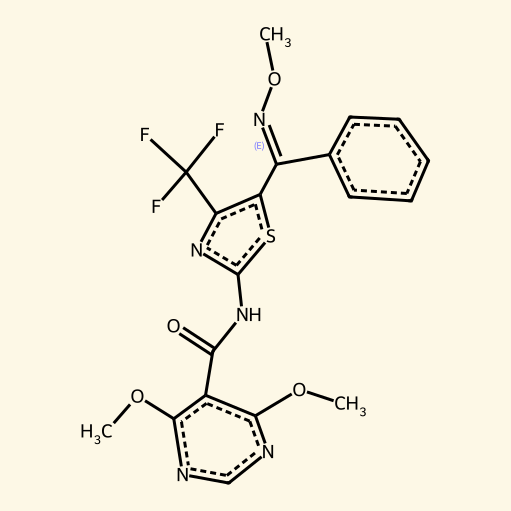 CO/N=C(\c1ccccc1)c1sc(NC(=O)c2c(OC)ncnc2OC)nc1C(F)(F)F